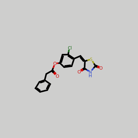 O=C(Cc1ccccc1)Oc1ccc(C=C2SC(=O)NC2=O)c(Cl)c1